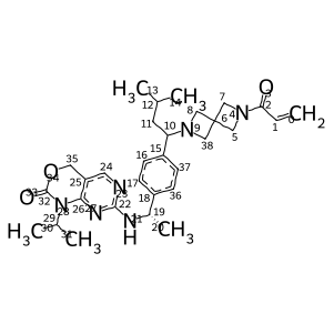 C=CC(=O)N1CC2(C1)CN(C(CC(C)C)c1ccc([C@H](C)Nc3ncc4c(n3)N(C(C)C)C(=O)OC4)cc1)C2